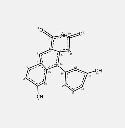 N#Cc1ccc2cc3c(=O)[nH]c(=O)nc-3n(-c3cccc(O)c3)c2c1